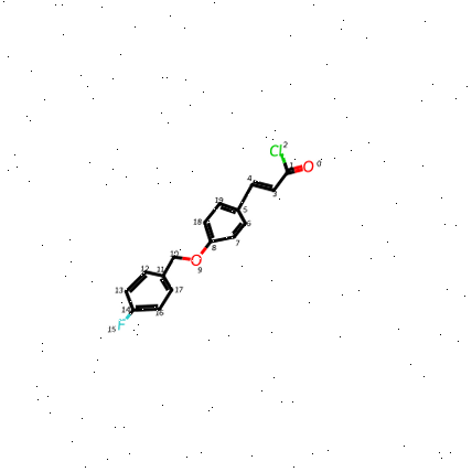 O=C(Cl)C=Cc1ccc(OCc2ccc(F)cc2)cc1